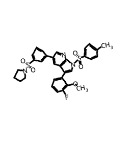 COc1c(F)cccc1-c1cn(S(=O)(=O)c2ccc(C)cc2)c2ncc(-c3cccc(S(=O)(=O)N4CCCC4)c3)cc12